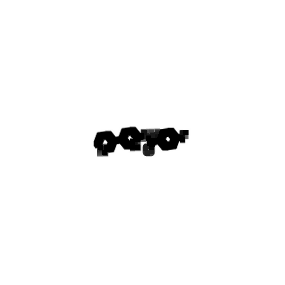 O=C(Nc1ccc(-c2cccnc2)cn1)c1ccc(F)cc1